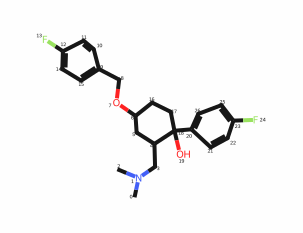 CN(C)CC1CC(OCc2ccc(F)cc2)CCC1(O)c1ccc(F)cc1